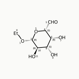 CCO[C@@H]1O[C@H](C=O)[C@H](O)[C@H](O)[C@H]1O